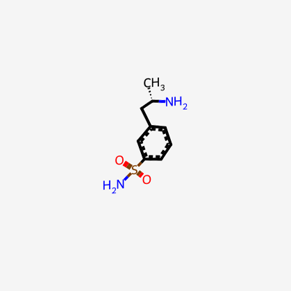 C[C@H](N)Cc1cccc(S(N)(=O)=O)c1